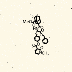 COC(=O)C12CC3CC(CC(C(=O)N[C@@H](Cc4ccc(OC(=O)c5cccn(C)c5=O)cc4)C(=O)OCc4ccccc4)(C3)C1)C2